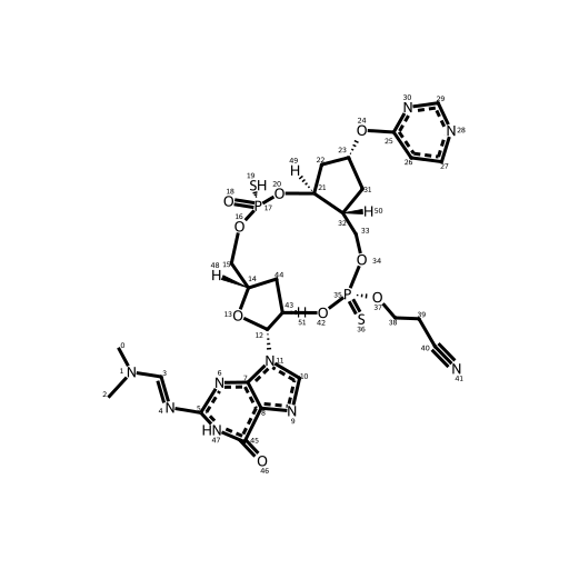 CN(C)C=Nc1nc2c(ncn2[C@@H]2O[C@@H]3CO[P@](=O)(S)O[C@H]4C[C@H](Oc5ccncn5)C[C@@H]4CO[P@](=S)(OCCC#N)O[C@@H]2C3)c(=O)[nH]1